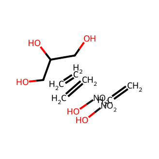 C=C.C=C.C=C.O=[N+]([O-])O.O=[N+]([O-])O.OCC(O)CO